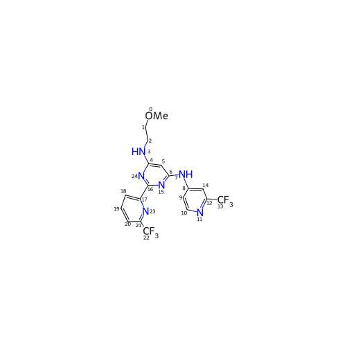 COCCNc1cc(Nc2ccnc(C(F)(F)F)c2)nc(-c2cccc(C(F)(F)F)n2)n1